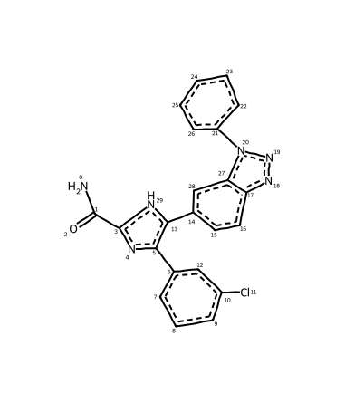 NC(=O)c1nc(-c2cccc(Cl)c2)c(-c2ccc3nnn(-c4ccccc4)c3c2)[nH]1